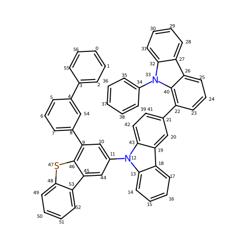 c1ccc(-c2cccc(-c3cc(-n4c5ccccc5c5cc(-c6cccc7c8ccccc8n(-c8ccccc8)c67)ccc54)cc4c3sc3ccccc34)c2)cc1